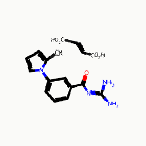 N#Cc1cccn1-c1cccc(C(=O)N=C(N)N)c1.O=C(O)C=CC(=O)O